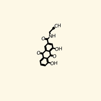 C#CCNC(=O)c1cc(O)c2c(c1)C(=O)c1cccc(O)c1C2=O